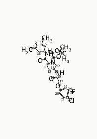 Cc1cc(C)cc(NC(=O)[C@@H]2CCC(NC(=O)COc3ccc(Cl)c(F)c3)CN2C(=O)OC(C)(C)C)c1